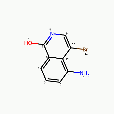 Nc1cccc2c(O)ncc(Br)c12